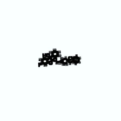 C[N+]1(Cc2ccccc2)CC2C(COC(=O)C(O)(c3ccccc3)c3ccc(F)cc3)C2C1